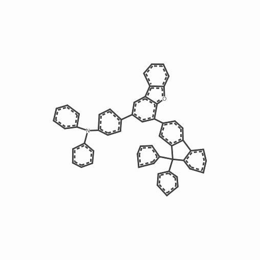 c1ccc(N(c2ccccc2)c2ccc(-c3cc(-c4ccc5c(c4)C(c4ccccc4)(c4ccccc4)c4ccccc4-5)c4oc5ccccc5c4c3)cc2)cc1